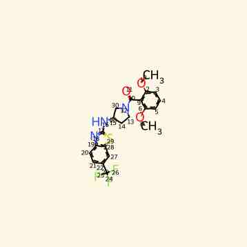 COc1cccc(OC)c1C(=O)N1CC[C@@H](Nc2nc3ccc(C(F)(F)F)cc3s2)C1